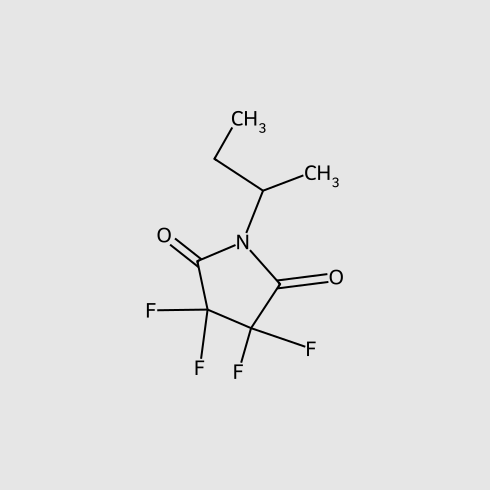 CCC(C)N1C(=O)C(F)(F)C(F)(F)C1=O